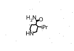 CC(C)C1CNC[CH]C1C(N)=O